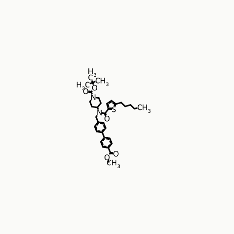 CCCCCc1ccc(C(=O)N(Cc2ccc(-c3ccc(C(=O)OC)cc3)cc2)C2CCN(C(=O)OC(C)(C)C)CC2)s1